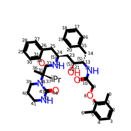 Cc1cccc(C)c1OCC(=O)N[C@@H](Cc1ccccc1)[C@@H](O)C[C@H](Cc1ccccc1)NC(=O)[C@](C)(C(C)C)N1CCCNC1=O